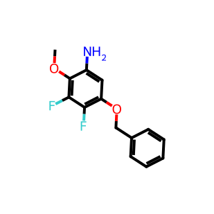 COc1c(N)cc(OCc2ccccc2)c(F)c1F